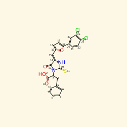 O=C(O)C(Cc1ccccc1)N1C(=O)/C(=C/c2ccc(-c3ccc(Cl)c(Cl)c3)o2)NC1=S